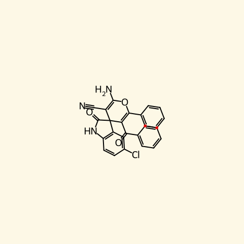 N#CC1=C(N)OC(c2ccccc2)=C(C(=O)c2ccccc2)C12C(=O)Nc1ccc(Cl)cc12